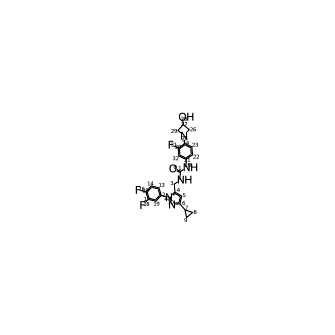 O=C(NCc1cc(C2CC2)nn1-c1ccc(F)c(F)c1)Nc1ccc(N2CC(O)C2)c(F)c1